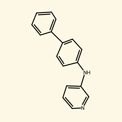 c1ccc(-c2ccc(Nc3cccnc3)cc2)cc1